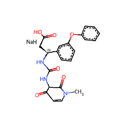 CN1C=CC(=O)C(NC(=O)N[C@@H](CC(=O)O)c2cccc(Oc3ccccc3)c2)C1=O.[NaH]